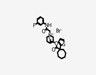 O=C(C[N+]12CCC(CC1)C(OC(=O)C1(c3cccs3)CCCCCC1)C2)Nc1cccc(F)c1.[Br-]